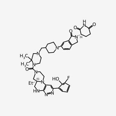 CC[C@@]12CNc3nnc(-c4cccc(F)c4O)cc3N1CCN(C(=O)N1CCN(CC3CCN(c4ccc5c(c4)C(=O)N([C@H]4CCC(=O)NC4=O)C5)CC3)CC1(C)C)C2